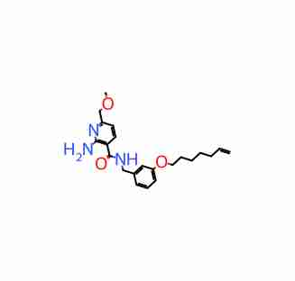 C=CCCCCCOc1cccc(CNC(=O)c2ccc(COC)nc2N)c1